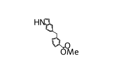 COC(=O)c1cccc(Cc2ccc3[nH]ccc3c2)c1